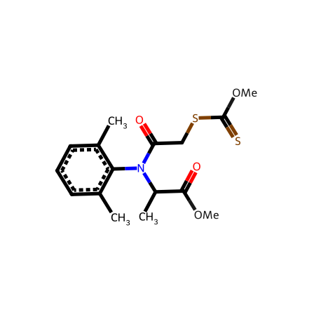 COC(=O)C(C)N(C(=O)CSC(=S)OC)c1c(C)cccc1C